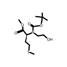 COC(=O)[C@H](CCSC)N(CCO)C(=O)OC(C)(C)C